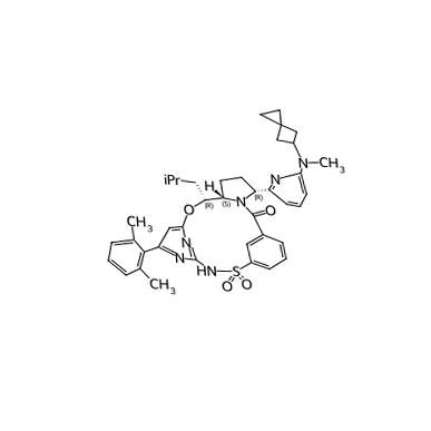 Cc1cccc(C)c1-c1cc2nc(n1)NS(=O)(=O)c1cccc(c1)C(=O)N1[C@@H](c3cccc(N(C)C4CC5(CC5)C4)n3)CC[C@H]1[C@@H](CC(C)C)O2